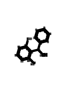 OC(c1ccccc1)c1c(F)cccc1F